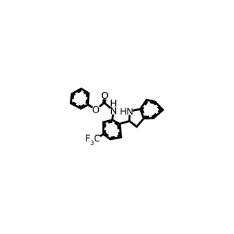 O=C(Nc1cc(C(F)(F)F)ccc1C1Cc2ccccc2N1)Oc1ccccc1